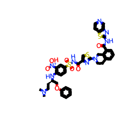 CN(C)CC[C@H](COc1ccccc1)Nc1ccc(S(=O)(=O)NC(=O)c2csc(N3CCc4cccc(C(=O)Nc5nc6cnccc6s5)c4C3)n2)cc1[N+](=O)O